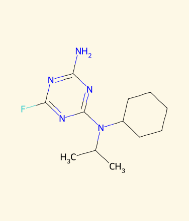 CC(C)N(c1nc(N)nc(F)n1)C1CCCCC1